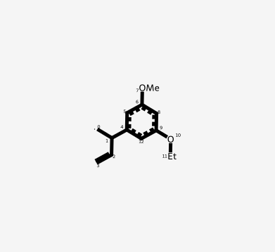 [CH2]C(C=C)c1cc(OC)cc(OCC)c1